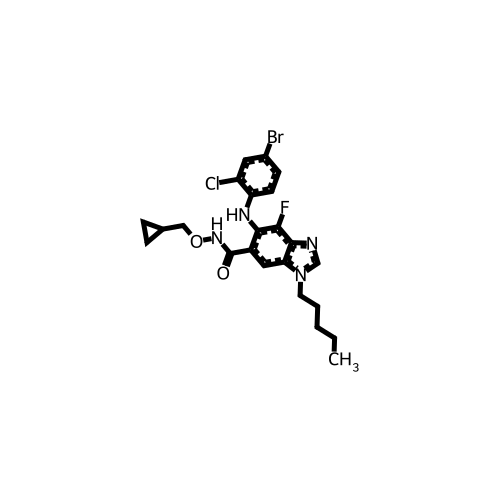 CCCCCn1cnc2c(F)c(Nc3ccc(Br)cc3Cl)c(C(=O)NOCC3CC3)cc21